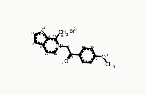 COc1ccc(C(=O)C[n+]2ccc3ccsc3c2C)cc1.[Br-]